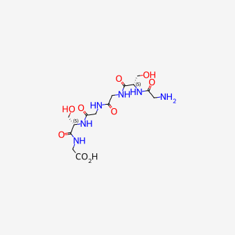 NCC(=O)N[C@@H](CO)C(=O)NCC(=O)NCC(=O)N[C@@H](CO)C(=O)NCC(=O)O